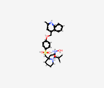 Cc1cc(COc2ccc(S(=O)(=O)CC3(CC(=O)NO)CCCCN3CC(C)C)cc2)c2ccccc2n1